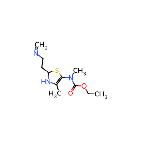 C=NCCC1NC(C)=C(N(C)C(=O)OCC)S1